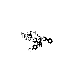 CC(C)(C)CC(=O)N1CCC(c2c(C(=O)N3CCC(c4ccccc4)C3)cnn2-c2ccc(Cl)cc2)CC1